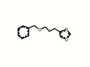 [c]1nc(CCCOCc2ccccc2)co1